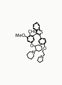 COc1cc(OC2CCCCC2N2CCCCC2)cc(-c2c(-c3ccc(OCCN4CCCC4)cc3)sc3ccccc23)c1C=O